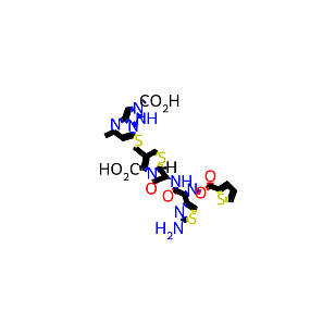 CC1=NC2=CN(C(=O)O)NN2C(SCC2=C(C(=O)O)N3C(=O)[C@@H](NC(=O)C(=NOC(=O)c4cccs4)c4csc(N)n4)[C@H]3SC2)=C1